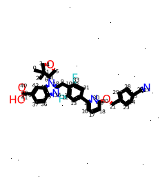 CC1(C)COC[C@H]1n1c(Cc2c(F)cc(-c3cccc(OCc4ccc(C#N)cc4)n3)cc2F)nc2ccc(C(=O)O)cc21